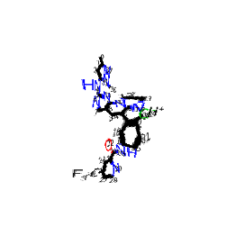 Cc1cc(Nc2ncc3c(n2)N2CCN=C2C(c2cc(NC(=O)c4cc(C(F)(F)F)ccn4)ccc2C)=C3)n(C)n1.[Cl-].[H+]